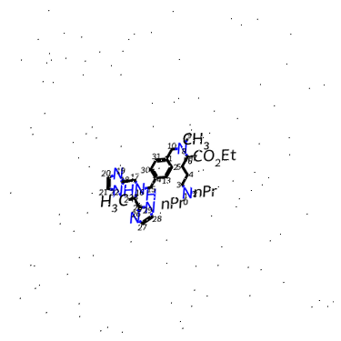 CCCN(CCC)CCC[C@H](C(=O)OCC)N(C)Cc1ccc(CN(Cc2ncc[nH]2)C(C)c2ncc[nH]2)cc1